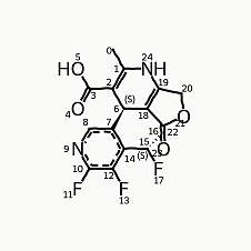 CC1=C(C(=O)O)[C@H](c2cnc(F)c(F)c2[C@H](C)F)C2=C(COC2=O)N1